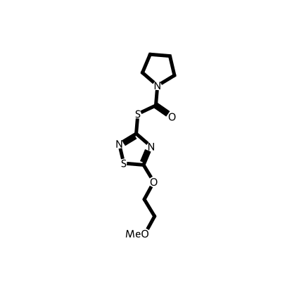 COCCOc1nc(SC(=O)N2CCCC2)ns1